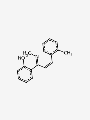 C/N=C(/C=C\c1ccccc1C)c1ccccc1O